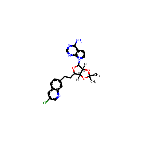 CC1(C)O[C@@H]2C(CCc3ccc4cc(Cl)cnc4c3)OC(n3ccc4c(N)ncnc43)[C@@H]2O1